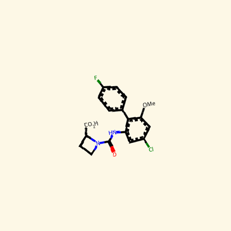 COc1cc(Cl)cc(NC(=O)N2CCC2C(=O)O)c1-c1ccc(F)cc1